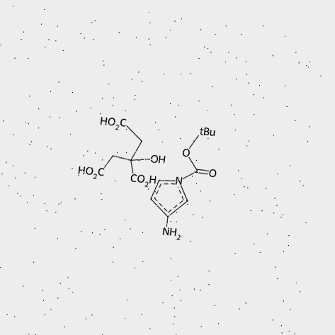 CC(C)(C)OC(=O)n1ccc(N)c1.O=C(O)CC(O)(CC(=O)O)C(=O)O